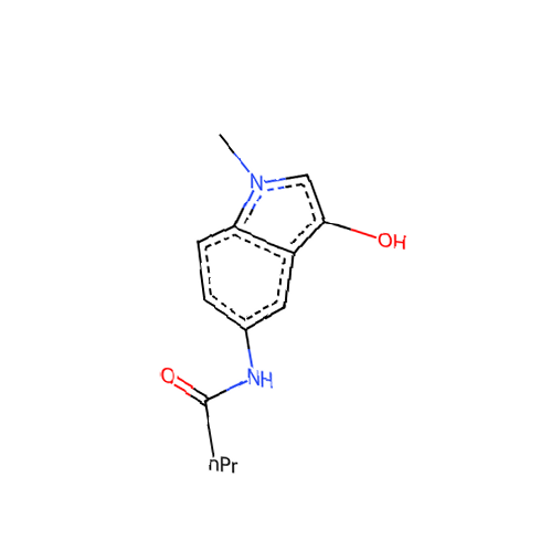 CCCC(=O)Nc1ccc2c(c1)c(O)cn2C